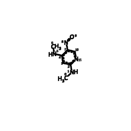 CNc1cc(NC)c(N=O)cn1